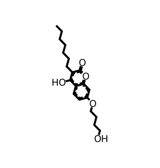 CCCCCCCc1c(O)c2ccc(OCCCCO)cc2oc1=O